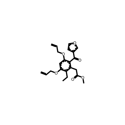 C=CCOc1cc(OCC=C)c(C(=O)c2ccoc2)c(CC(=O)OC)c1CC